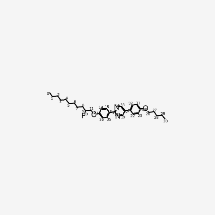 CCCCCCCCCC(F)COc1ccc(-c2ncc(-c3ccc(OCCCCC)cc3)cn2)cc1